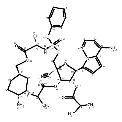 CC(C)C(=O)O[C@H]1[C@H](c2ccc3c(N)ccnn23)O[C@](C#N)(CO[P@](=O)(N[C@@H](C)C(=O)OC[C@H]2CC[C@H](N)CC2)Oc2ccccc2)[C@H]1OC(=O)C(C)C